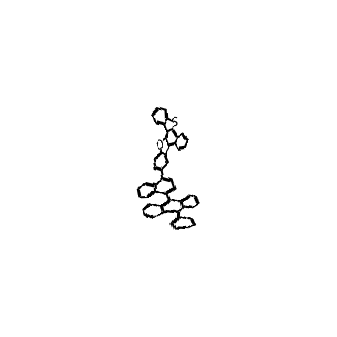 c1ccc(-c2c3ccccc3c(-c3ccc(-c4ccc5oc6c(c5c4)c4ccccc4c4sc5ccccc5c64)c4ccccc34)c3ccccc23)cc1